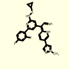 Cn1cc(C2=CN/C(=C(\C=N)c3cc(NSC4CC4)nc(-c4ccc(F)cc4F)c3)C=C2)cn1